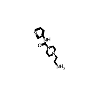 NCCN1CCN(C(=O)Nc2cccnc2)CC1